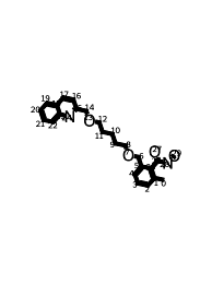 Cc1cccc(COCCCCCOCc2ccc3ccccc3n2)c1C(=O)N=O